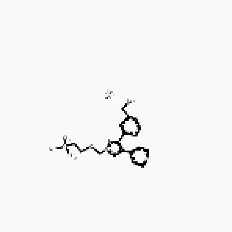 C[Si](C)(C)CCOCn1cc(-c2ccncc2)c(-c2cccc(CN)c2)n1.[AlH3].[LiH]